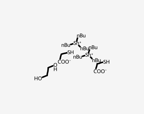 CCC[CH2][Sn+]([CH2]CCC)[CH2]CCC.CCC[CH2][Sn+]([CH2]CCC)[CH2]CCC.O=C([O-])CS.O=C([O-])CS.OCCO